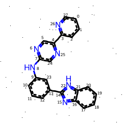 c1ccc(-c2cnc(Nc3cccc(-c4nc5ccccc5[nH]4)c3)cn2)nc1